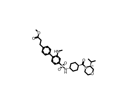 CNc1cc(S(=O)(=O)N[C@H]2CC[C@H](C(=O)N3CCOC[C@@H]3C(C)C)CC2)ccc1-c1ccc(CCC(=O)OC)cc1